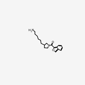 NCCCCCCC1CCN(C(=O)c2occ3ccccc23)C1